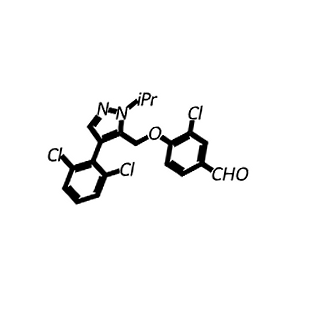 CC(C)n1ncc(-c2c(Cl)cccc2Cl)c1COc1ccc(C=O)cc1Cl